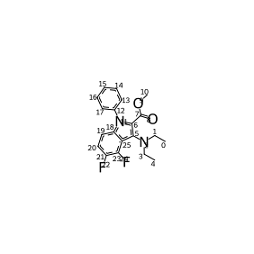 CCN(CC)c1c(C(=O)OC)n(-c2ccccc2)c2ccc(F)c(F)c12